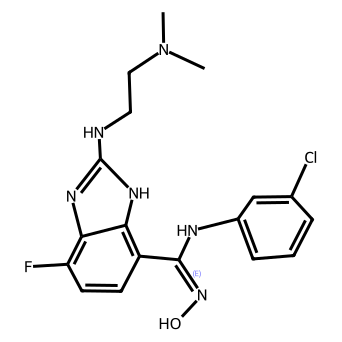 CN(C)CCNc1nc2c(F)ccc(/C(=N\O)Nc3cccc(Cl)c3)c2[nH]1